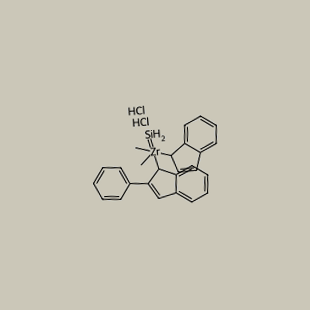 Cl.Cl.[CH3][Zr]([CH3])(=[SiH2])([CH]1C=Cc2ccccc21)[CH]1C(c2ccccc2)=Cc2ccccc21